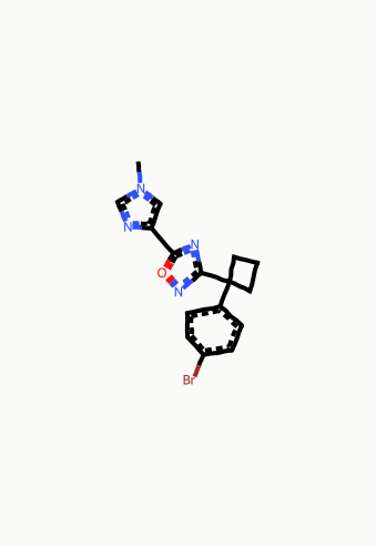 Cn1cnc(-c2nc(C3(c4ccc(Br)cc4)CCC3)no2)c1